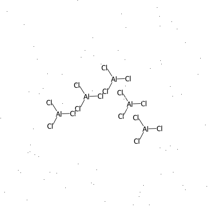 [Cl][Al]([Cl])[Cl].[Cl][Al]([Cl])[Cl].[Cl][Al]([Cl])[Cl].[Cl][Al]([Cl])[Cl].[Cl][Al]([Cl])[Cl]